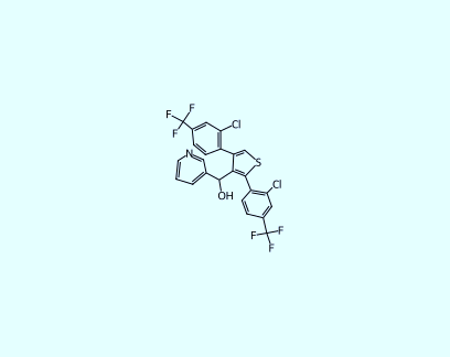 OC(c1cccnc1)c1c(-c2ccc(C(F)(F)F)cc2Cl)csc1-c1ccc(C(F)(F)F)cc1Cl